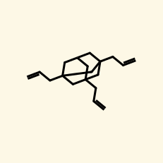 C=CCC12CC3CC(CC=C)(C1)CC(CC=C)(C3)C2